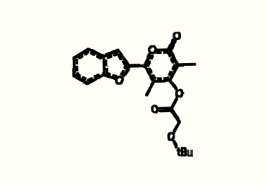 Cc1c(-c2cc3ccccc3o2)oc(=O)c(C)c1OC(=O)COC(C)(C)C